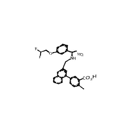 Cc1ccc(-c2cc(CNC(C)c3cccc(OCC(F)F)c3)cc3ccccc23)cc1C(=O)O.Cl